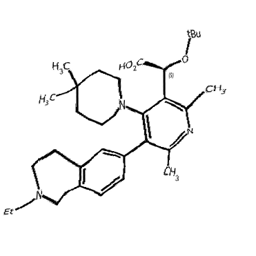 CCN1CCc2cc(-c3c(C)nc(C)c([C@H](OC(C)(C)C)C(=O)O)c3N3CCC(C)(C)CC3)ccc2C1